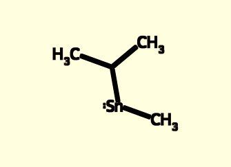 [CH3][Sn][CH](C)C